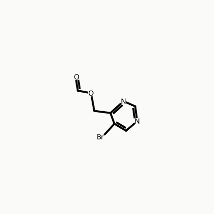 O=COCc1ncncc1Br